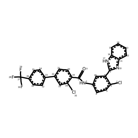 O=C(Nc1ccc(Cl)c(-c2nc3ccccc3[nH]2)c1)c1ccc(-c2ccc(C(F)(F)F)cc2)cc1Cl